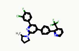 CC1CCCN1c1cc(-c2ccc(-c3ncccc3C(F)(F)F)cc2)cc(-c2ccc(F)c(Cl)c2)n1